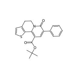 CC(C)(C)OC(=O)c1cc(-c2ccccc2)c(=O)n2c1-c1sccc1CC2